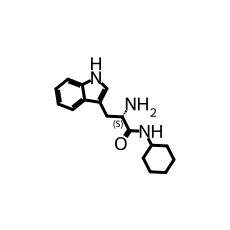 N[C@@H](Cc1c[nH]c2ccccc12)C(=O)NC1CCCCC1